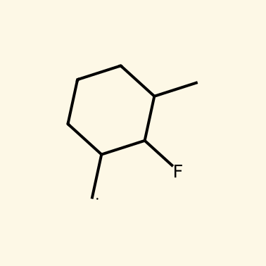 [CH2]C1CCCC(C)C1F